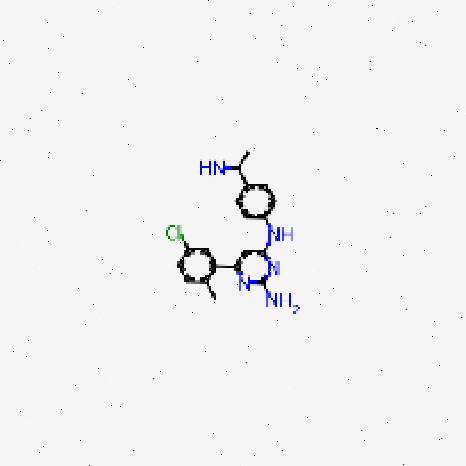 CC(=N)c1ccc(Nc2cc(-c3cc(Cl)ccc3C)nc(N)n2)cc1